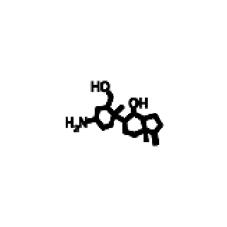 C=C1CCC2C(O)C(C3(C)CCC(N)CC3CO)CCC12C